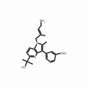 CSc1cccc(-c2c(C)n(C/C(F)=C/CN)c3ccc(C(C)(C)O)nc23)c1